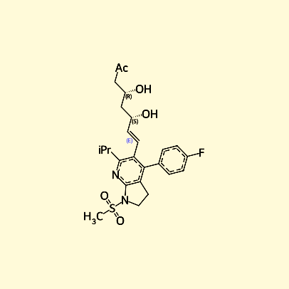 CC(=O)C[C@H](O)C[C@H](O)/C=C/c1c(C(C)C)nc2c(c1-c1ccc(F)cc1)CCN2S(C)(=O)=O